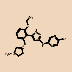 N#Cc1cnc(Nc2cc(-c3c(OCC(F)(F)F)cccc3O[C@@H]3CC[C@H](N)C3)[nH]n2)cn1